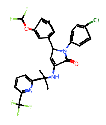 CC(C)(NC1=CC(c2cccc(OC(F)F)c2)N(c2ccc(Cl)cc2)C1=O)c1cccc(C(F)(F)F)n1